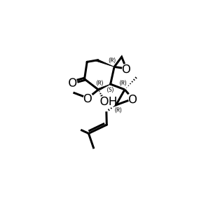 CO[C@@]1(O)C(=O)CC[C@]2(CO2)[C@H]1[C@@]1(C)O[C@@H]1CC=C(C)C